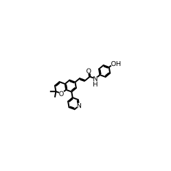 CC1(C)C=Cc2cc(C=CC(=O)Nc3ccc(O)cc3)cc(-c3cccnc3)c2O1